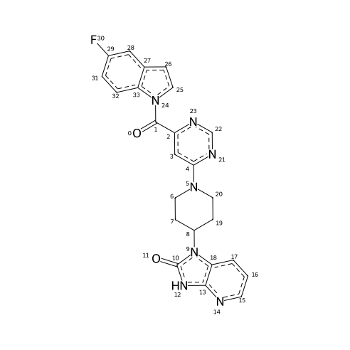 O=C(c1cc(N2CCC(n3c(=O)[nH]c4ncccc43)CC2)ncn1)n1ccc2cc(F)ccc21